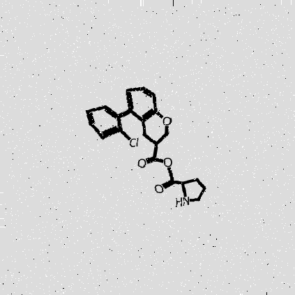 O=C(OC(=O)C1CCCN1)C1COc2cccc(-c3ccccc3Cl)c2C1